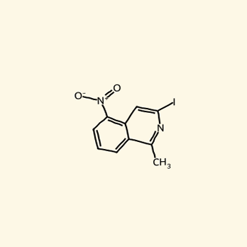 Cc1nc(I)cc2c([N+](=O)[O-])cccc12